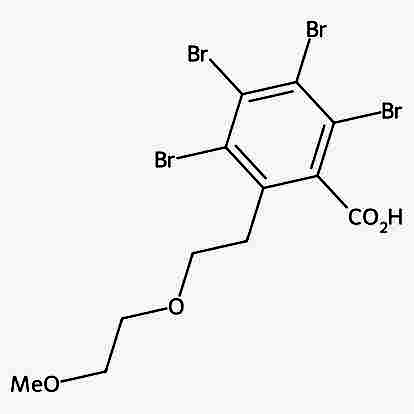 COCCOCCc1c(Br)c(Br)c(Br)c(Br)c1C(=O)O